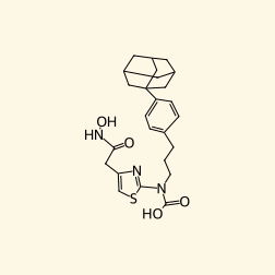 O=C(Cc1csc(N(CCCc2ccc(C34CC5CC(CC(C5)C3)C4)cc2)C(=O)O)n1)NO